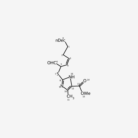 CCCCCCCCCCCC/C=C\C(C=O)Sc1nc(C)c(C(=O)OC)[nH]1